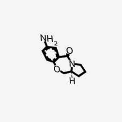 Nc1ccc2c(c1)C(=O)N1CCC[C@H]1CO2